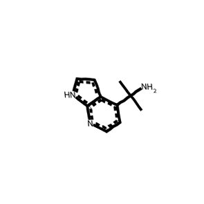 CC(C)(N)c1ccnc2[nH]ccc12